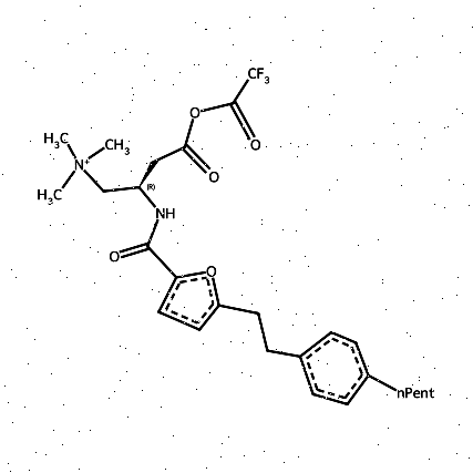 CCCCCc1ccc(CCc2ccc(C(=O)N[C@H](CC(=O)OC(=O)C(F)(F)F)C[N+](C)(C)C)o2)cc1